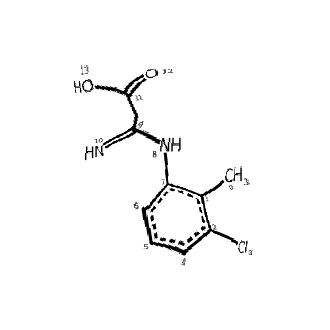 Cc1c(Cl)cccc1NC(=N)C(=O)O